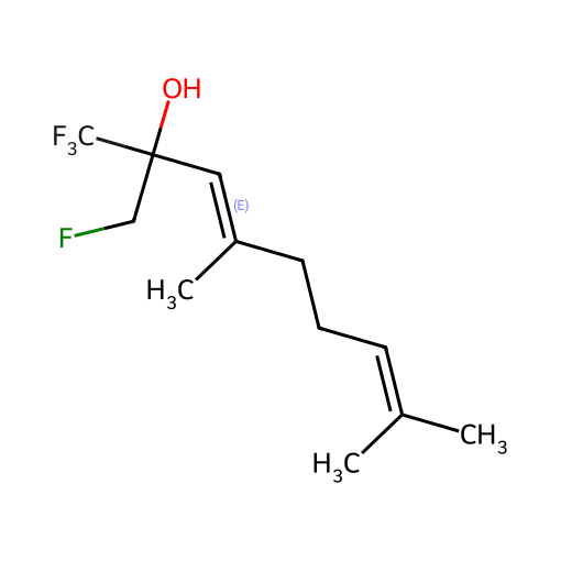 CC(C)=CCC/C(C)=C/C(O)(CF)C(F)(F)F